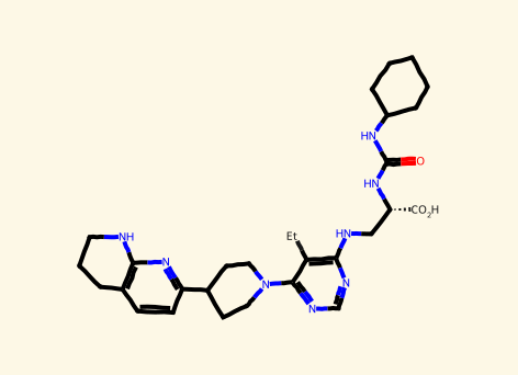 CCc1c(NC[C@H](NC(=O)NC2CCCCC2)C(=O)O)ncnc1N1CCC(c2ccc3c(n2)NCCC3)CC1